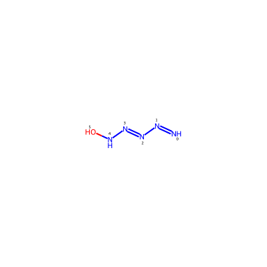 N=N/N=N/NO